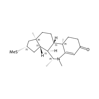 CS[C@H]1C[C@H]2[C@@H]3[C@@H](C)N(C)C4=CC(=O)CC[C@]4(C)[C@H]3CC[C@]2(C)C1